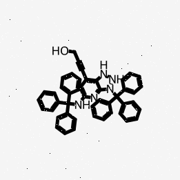 OCC#Cc1cc(NC(c2ccccc2)(c2ccccc2)c2ccccc2)nc2c1NNN2C(c1ccccc1)(c1ccccc1)c1ccccc1